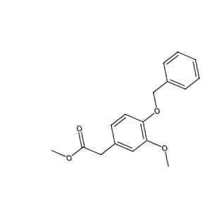 COC(=O)Cc1ccc(OCc2ccccc2)c(OC)c1